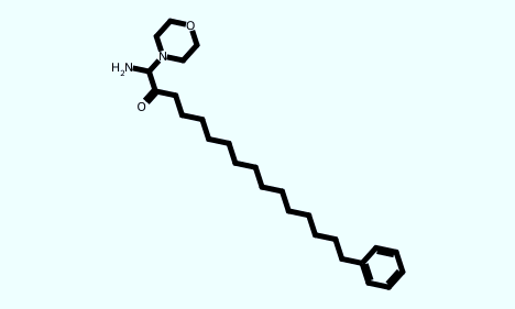 NC(C(=O)CCCCCCCCCCCCCCc1ccccc1)N1CCOCC1